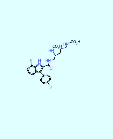 O=C(O)NCCC[C@@H](CNC(=O)c1[nH]c2c(F)cccc2c1-c1ccc(F)cc1)NC(=O)O